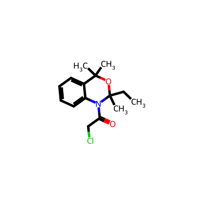 CCC1(C)OC(C)(C)c2ccccc2N1C(=O)CCl